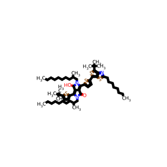 CCCCCCCCc1nc2c(C(C)(C)C)sc(-c3ccc(C4=C5C(=O)N(CC(C)CCCCCCCC)C(c6ccc(C(C)(C)C)s6)=C5C(O)N4CC(C)CCCCCCCC)s3)c2s1